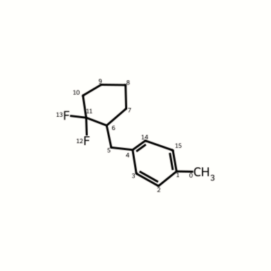 Cc1ccc(CC2CCCCC2(F)F)cc1